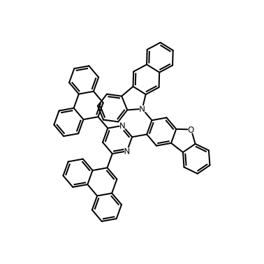 c1ccc2cc3c(cc2c1)c1ccccc1n3-c1cc2oc3ccccc3c2cc1-c1nc(-c2cc3ccccc3c3ccccc23)cc(-c2cc3ccccc3c3ccccc23)n1